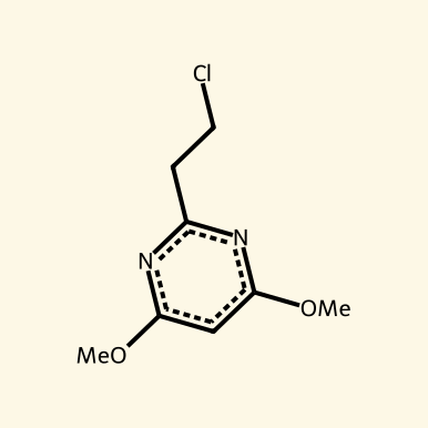 COc1cc(OC)nc(CCCl)n1